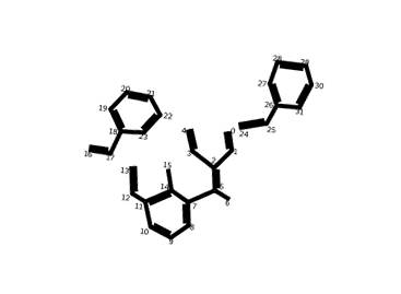 C=CC(C=C)=C(C)c1cccc(C=C)c1C.C=Cc1ccccc1.C=Cc1ccccc1